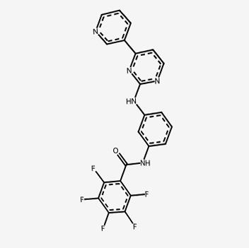 O=C(Nc1cccc(Nc2nccc(-c3cccnc3)n2)c1)c1c(F)c(F)c(F)c(F)c1F